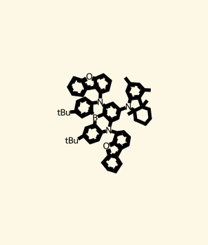 Cc1cc(C)c2c(c1)N(c1cc3c4c(c1)N(c1cccc5oc6ccccc6c15)c1ccc(C(C)(C)C)cc1B4c1cc(C(C)(C)C)ccc1N3c1cccc3c1oc1ccccc13)C1(C)CCCCC21C